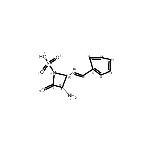 N[C@@H]1C(=O)N(S(=O)(=O)O)[C@@H]1C=Cc1ccccc1